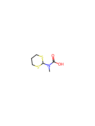 CN(C(=O)O)C1SCCCS1